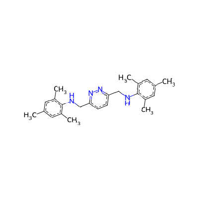 Cc1cc(C)c(NCc2ccc(CNc3c(C)cc(C)cc3C)nn2)c(C)c1